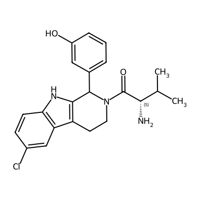 CC(C)[C@H](N)C(=O)N1CCc2c([nH]c3ccc(Cl)cc23)C1c1cccc(O)c1